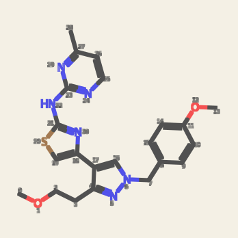 COCCc1nn(Cc2ccc(OC)cc2)cc1-c1csc(Nc2nccc(C)n2)n1